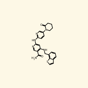 NC(=O)c1cnc(Nc2ccc(N3CCCCC3=O)cn2)cc1NCc1cccc2ccsc12